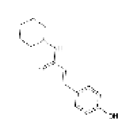 O=C(C=Cc1ccc(O)cc1)NC1CCCCC1